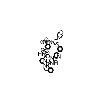 O=C(NS(=O)(=O)c1ccc(N[C@H](CCN2CCOCC2)CSc2ccccc2)c([N+](=O)[O-])c1)c1cccc(N2CCc3ccccc3C2C(=O)Nc2nc3cccnc3s2)n1